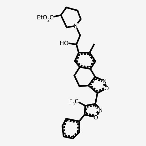 CCOC(=O)C1CCCN(CC(O)c2cc3c(cc2C)-c2noc(-c4noc(-c5ccccc5)c4C(F)(F)F)c2CC3)C1